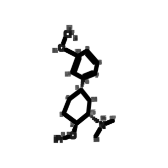 CC(C)O[C@H]1CC[C@H](c2cccc(OC(F)(F)F)c2)C[C@@H]1N(C)C